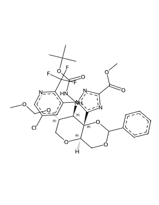 COCO[C@H]1CO[C@@H]2COC(c3ccccc3)O[C@@]2(c2nc(C(=O)OC)nn2-c2cc(Cl)cnc2C(F)(F)F)[C@@H]1NNC(=O)OC(C)(C)C